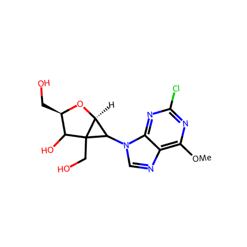 COc1nc(Cl)nc2c1ncn2C1[C@@H]2O[C@H](CO)C(O)C12CO